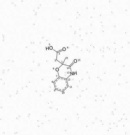 CC1(CC(=O)O)Oc2ccccc2NC1=O